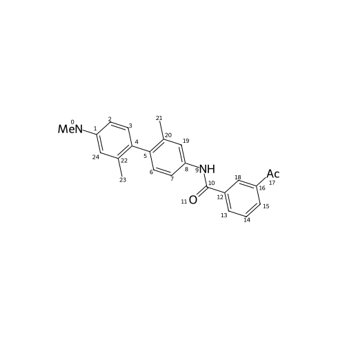 CNc1ccc(-c2ccc(NC(=O)c3cccc(C(C)=O)c3)cc2C)c(C)c1